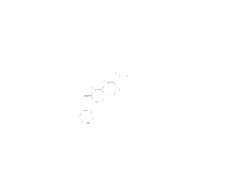 Cc1ccccc1-c1cc2cnc(NN3CC4CCCC4C3)nc2[nH]c1=O